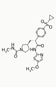 CNC(=O)N1CC[C@H](C[C@@H](C(=O)Nc2ncc(OC)s2)c2ccc(S(=O)(=O)C3CC3)cc2)C1